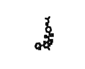 Cc1cc(-c2ccccn2)nc2c(C(=O)NC3CCC(OCC(C)C)CC3)ncn12